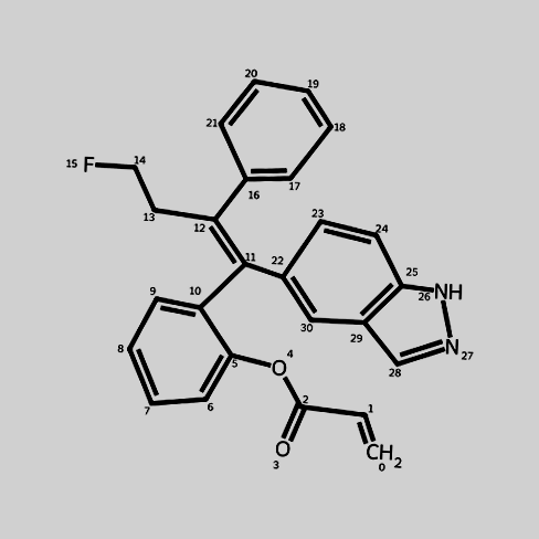 C=CC(=O)Oc1ccccc1/C(=C(\CCF)c1ccccc1)c1ccc2[nH]ncc2c1